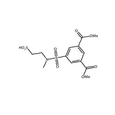 COC(=O)c1cc(C(=O)OC)cc(S(=O)(=O)N(C)CCS(=O)(=O)O)c1